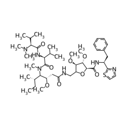 CC[C@H](C)C([C@H](CC(=O)NCC1O[C@H](C(=O)N[C@@H](Cc2ccccc2)c2nccs2)[C@@H](OC)[C@@H]1OC)OC)N(C)C(=O)[C@@H](NC(=O)[C@H](C(C)C)N(C)C)C(C)C